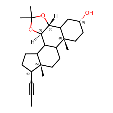 CC#C[C@H]1CCC2C3C(CC[C@@]21C)[C@@]1(C)CC[C@@H](O)CC1[C@H]1OC(C)(C)O[C@H]31